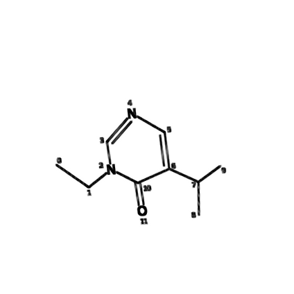 CCn1cncc(C(C)C)c1=O